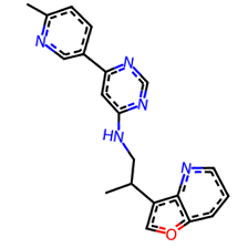 Cc1ccc(-c2cc(NCC(C)c3coc4cccnc34)ncn2)cn1